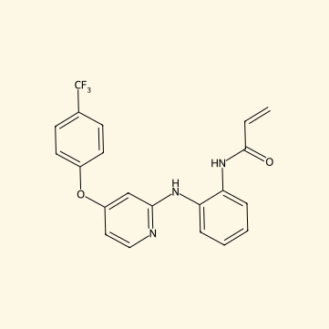 C=CC(=O)Nc1ccccc1Nc1cc(Oc2ccc(C(F)(F)F)cc2)ccn1